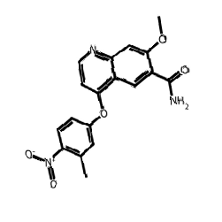 COc1cc2nccc(Oc3ccc([N+](=O)[O-])c(C)c3)c2cc1C(N)=O